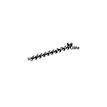 COS(=S)(=S)SSSSSSSSSSSSSSSSSSS